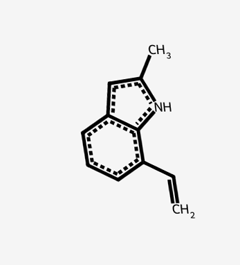 C=Cc1cccc2cc(C)[nH]c12